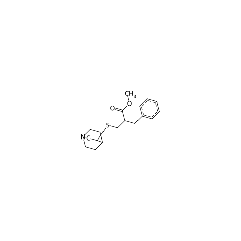 COC(=O)C(CSC1CN2CCC1CC2)Cc1ccccc1